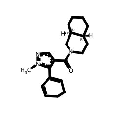 Cn1ncc(C(=O)N2CC[C@H]3CCCC[C@@H]3C2)c1C1=CCCC=C1